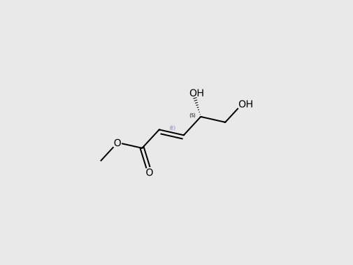 COC(=O)/C=C/[C@H](O)CO